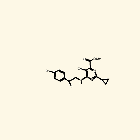 COC(=O)c1nc(C2CC2)nc(NCC(F)c2ccc(Br)cc2)c1Cl